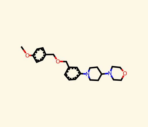 COc1ccc(COCc2cccc(N3CCC(N4CCOCC4)CC3)c2)cc1